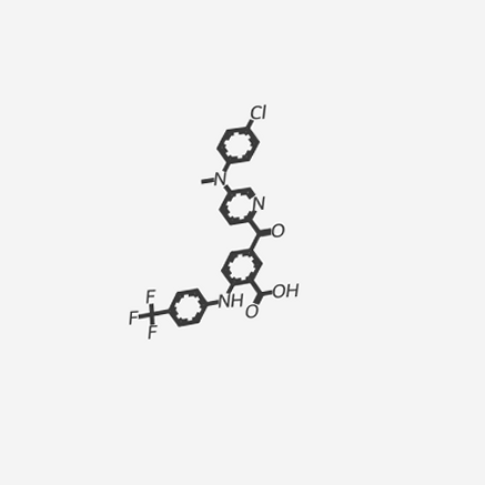 CN(c1ccc(Cl)cc1)c1ccc(C(=O)c2ccc(Nc3ccc(C(F)(F)F)cc3)c(C(=O)O)c2)nc1